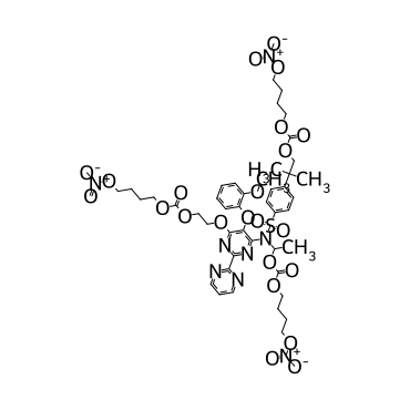 COc1ccccc1Oc1c(OCCOC(=O)OCCCCO[N+](=O)[O-])nc(-c2ncccn2)nc1N(C(C)OC(=O)OCCCCO[N+](=O)[O-])S(=O)(=O)c1ccc(C(C)(C)COC(=O)OCCCCO[N+](=O)[O-])cc1